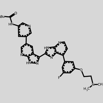 CCCCC(=O)Nc1cncc(-c2cnc3[nH]nc(-c4nc5c(-c6cc(F)cc(OCCN(C)C)c6)ccnc5[nH]4)c3c2)c1